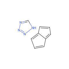 C1=CC2=CC=CC2=C1.c1nnn[nH]1